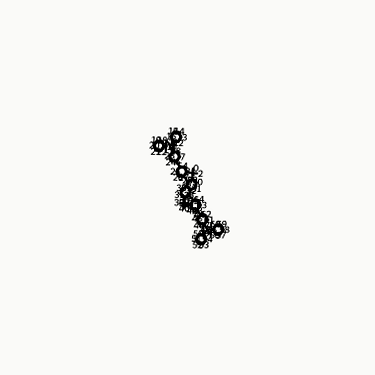 CC1(C)c2cc(-c3ccc(N(c4ccccc4)c4ccccc4)cc3)ccc2-c2c1ccc1c3c(ccc21)C(C)(C)c1cc(-c2ccc(N(c4ccccc4)c4ccccc4)cc2)ccc1-3